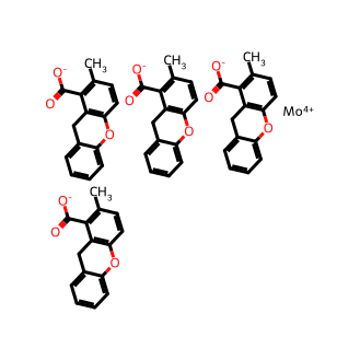 Cc1ccc2c(c1C(=O)[O-])Cc1ccccc1O2.Cc1ccc2c(c1C(=O)[O-])Cc1ccccc1O2.Cc1ccc2c(c1C(=O)[O-])Cc1ccccc1O2.Cc1ccc2c(c1C(=O)[O-])Cc1ccccc1O2.[Mo+4]